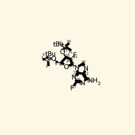 CC(C)(C)[Si](C)(C)OC[C@H]1O[C@@H](n2cnc3c(N)nc(F)nc32)[C@@H](F)[C@@H]1O[Si](C)(C)C(C)(C)C